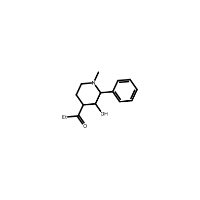 CCC(=O)C1CCN(C)C(c2ccccc2)C1O